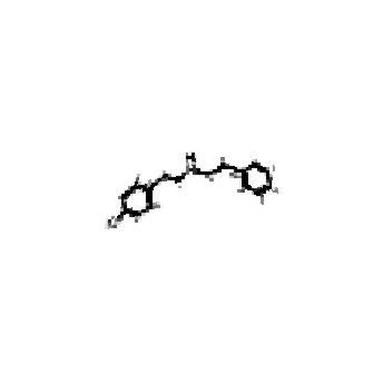 Oc1ccc(CCNCCc2ccccc2)cc1